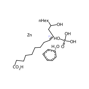 CCCCCCC(O)C/C=C\CCCCCCCC(=O)O.O.O=P(O)(O)O.[Zn].c1ccccc1